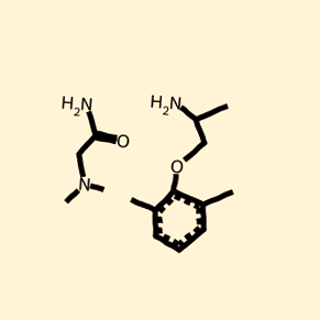 CN(C)CC(N)=O.Cc1cccc(C)c1OCC(C)N